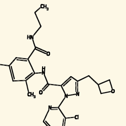 CCCNC(=O)c1cc(Cl)cc(C)c1NC(=O)c1cc(CC2COC2)nn1-c1ncccc1Cl